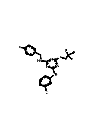 Fc1ccc(CNc2nc(Nc3cccc(Cl)c3)nc(OCC(F)(F)F)n2)cc1